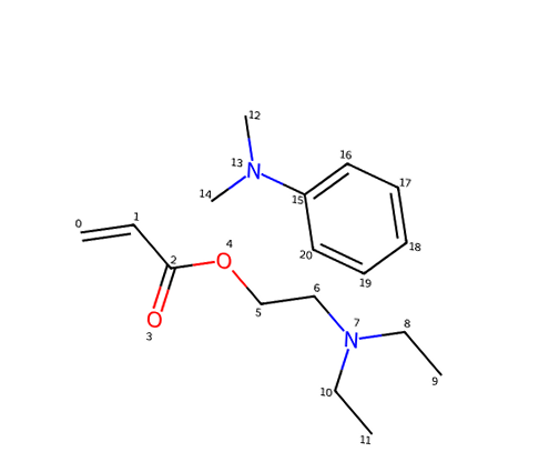 C=CC(=O)OCCN(CC)CC.CN(C)c1ccccc1